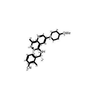 COC1CCN(c2cnc3c(C)nnc(N[C@H](C)c4cccc(C#N)c4C)c3c2)CC1